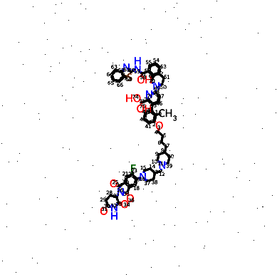 Cc1c(OCCCCC2CCN(CC3CCN(c4cc5c(cc4F)C(=O)N(C4CCC(=O)NC4=O)C5=O)CC3)CC2)cccc1-c1ccc(N2CCc3cccc(C(O)Nc4nc5ccccc5s4)c3C2)nc1C(O)O